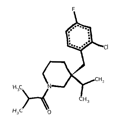 CC(C)C(=O)N1CCC[C@](Cc2ccc(F)cc2Cl)(C(C)C)C1